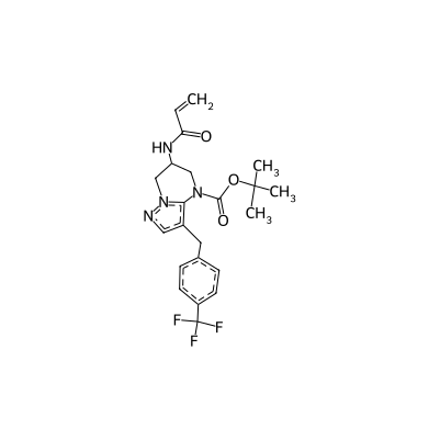 C=CC(=O)NC1CN(C(=O)OC(C)(C)C)c2c(Cc3ccc(C(F)(F)F)cc3)cnn2C1